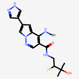 CC(C)Nc1c(C(=O)NCC(F)C(C)(C)O)cnn2cc(-c3cn[nH]c3)cc12